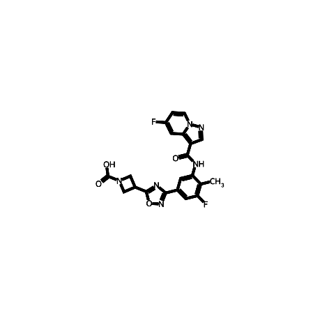 Cc1c(F)cc(-c2noc(C3CN(C(=O)O)C3)n2)cc1NC(=O)c1cnn2ccc(F)cc12